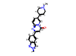 CC(C)N1CCC(c2ccc3nc(-c4ccc5nn(C)cc5c4)cc(=O)n3c2)CC1